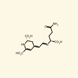 NC(=O)CC[C@H](/N=C/C=C1/C=C(C(=O)O)N[C@H](C(=O)O)C1)C(=O)O